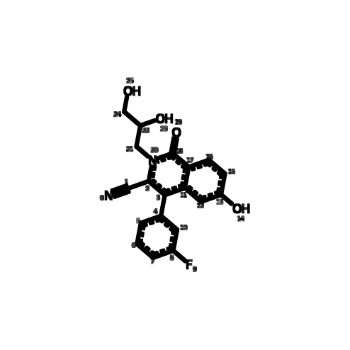 N#Cc1c(-c2cccc(F)c2)c2cc(O)ccc2c(=O)n1CC(O)CO